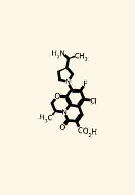 C[C@H](N)[C@@H]1CCN(c2c(F)c(Cl)c3cc(C(=O)O)c(=O)n4c3c2OC[C@@H]4C)C1